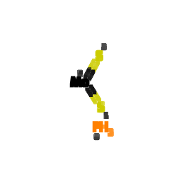 P.[S]=[Mo]=[S]